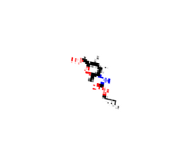 CC1OC(CO)[C@@H](C)[C@H](C)C1NC(=O)OCC(Cl)(Cl)Cl